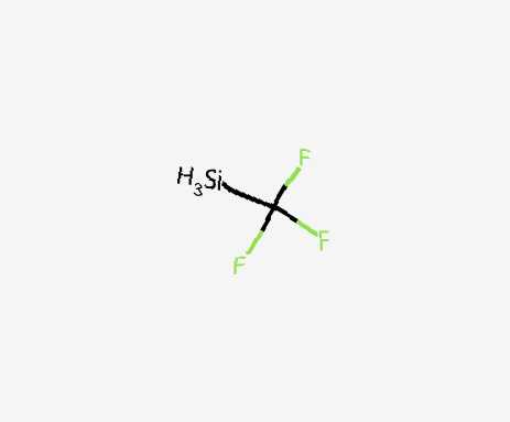 FC(F)(F)[SiH3]